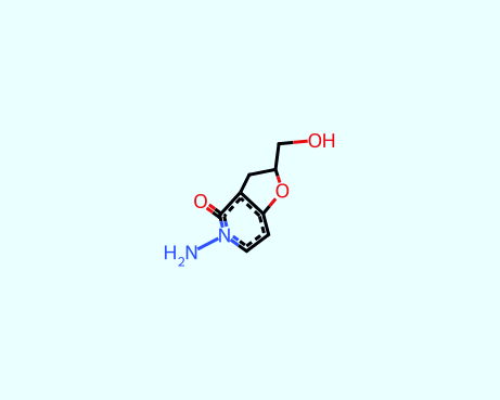 Nn1ccc2c(c1=O)CC(CO)O2